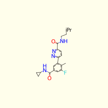 Cc1c(F)cc(C(=O)NC2CC2)cc1-c1ccc(C(=O)NCCC(C)C)nn1